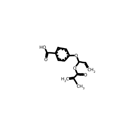 C=CC(OC(=O)C(=C)C)Oc1ccc(C(=O)O)cc1